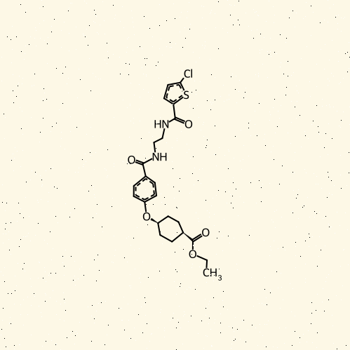 CCOC(=O)[C@H]1CC[C@@H](Oc2ccc(C(=O)NCCNC(=O)c3ccc(Cl)s3)cc2)CC1